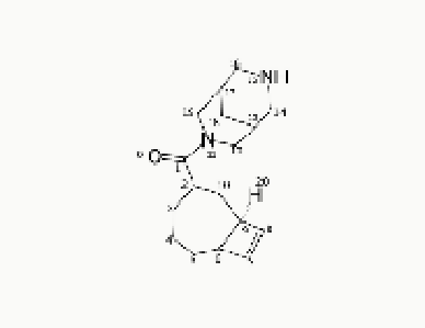 O=C(C1CCCC2C=C[C@@H]2C1)N1CC2CNCC(C2)C1